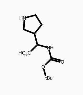 CC(C)(C)OC(=O)NC(C(=O)O)C1CCNC1